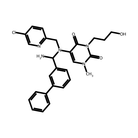 Cn1cc(N(Cc2ccc(Cl)cn2)C(N)c2cccc(-c3ccccc3)c2)c(=O)n(CCCO)c1=O